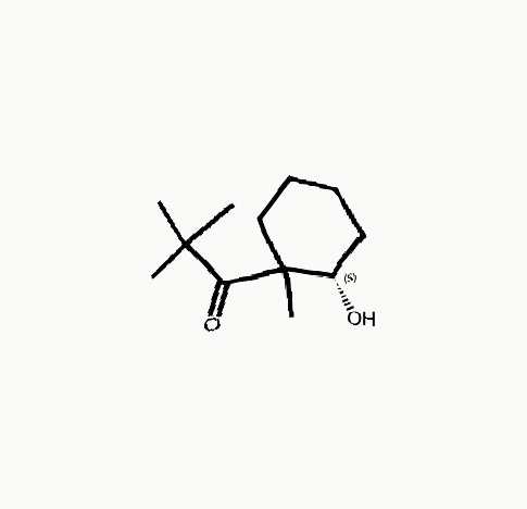 CC(C)(C)C(=O)C1(C)CCCC[C@@H]1O